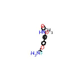 CC1(NC(=O)C23CCC(c4ccc(OCC(=CF)CN)cc4)(CC2)CC3)CCOCC1